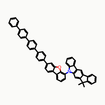 CC1(C)c2ccccc2-c2cc3c4ccccc4n(-c4cccc5c4oc4cc(-c6ccc(-c7ccc(-c8ccc(-c9ccccc9)cc8)cc7)cc6)ccc45)c3cc21